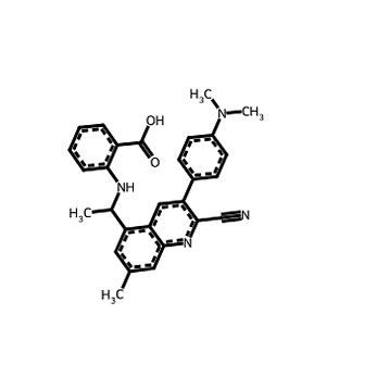 Cc1cc(C(C)Nc2ccccc2C(=O)O)c2cc(-c3ccc(N(C)C)cc3)c(C#N)nc2c1